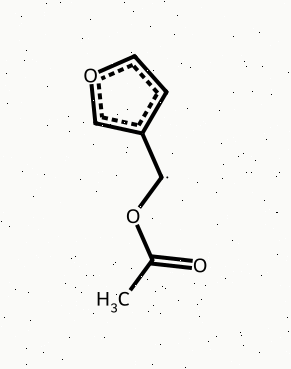 CC(=O)O[CH]c1ccoc1